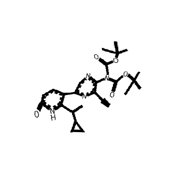 C#Cc1nc(-c2ccc(=O)[nH]c2C(C)C2CC2)cnc1N(C(=O)OC(C)(C)C)C(=O)OC(C)(C)C